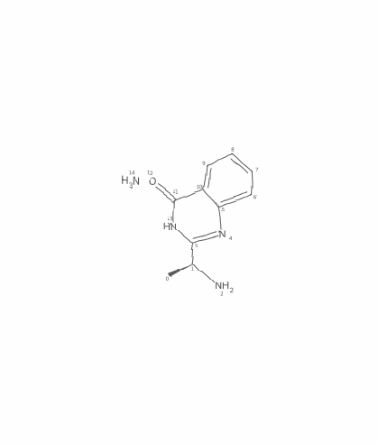 C[C@H](N)c1nc2ccccc2c(=O)[nH]1.N